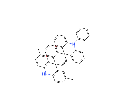 Cc1ccc2c(c1)C1(c3cc(C)ccc3N2)c2ccccc2C2(c3ccccc3N(c3ccccc3)c3ccccc32)c2ccccc21